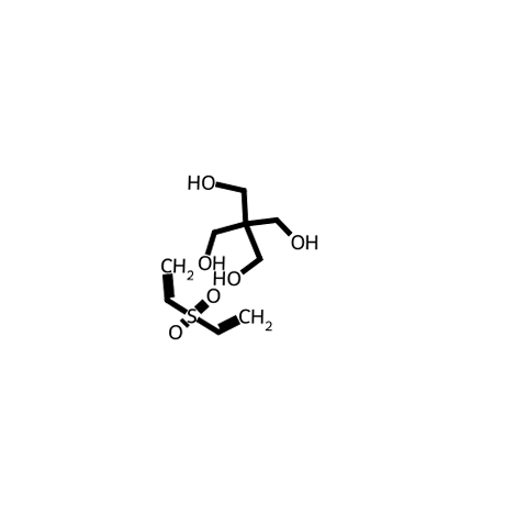 C=CS(=O)(=O)C=C.OCC(CO)(CO)CO